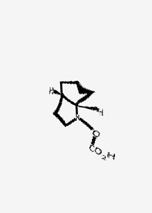 O=C(O)ON1CC[C@@H]2CCC[C@@H]21